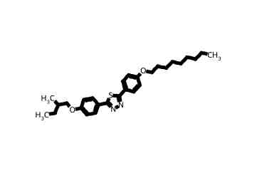 CCCCCCCCCOc1ccc(-c2nnc(-c3ccc(OCC(C)CC)cc3)s2)cc1